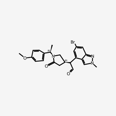 COc1ccc([C@@H](C)N2C[C@@H](C(C=O)c3cc(Br)cc4nn(C)cc34)CC2=O)cc1